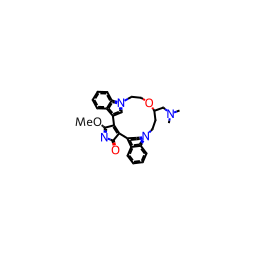 COC1=NC(=O)C2=C1c1cn(c3ccccc13)CCOC(CN(C)C)CCn1cc2c2ccccc21